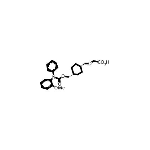 COc1ccccc1N(C(=O)OC[C@H]1CC[C@@H](COCC(=O)O)CC1)c1ccccc1